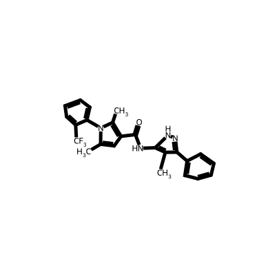 Cc1c(-c2ccccc2)n[nH]c1NC(=O)c1cc(C)n(-c2ccccc2C(F)(F)F)c1C